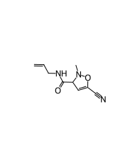 C=CCNC(=O)C1C=C(C#N)ON1C